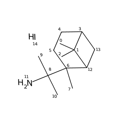 CC1(C)C2CCC(C)(C(C)(C)N)C1C2.I